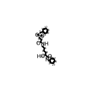 O=C([CH]CS(=O)(=O)Cc1ccccc1)NCCCC[C@@H](O)c1nc2ccccc2o1